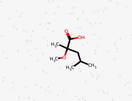 COC(C)(CC(C)C)C(=O)O